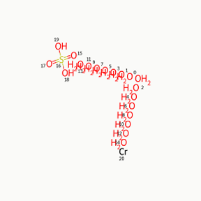 O.O.O.O.O.O.O.O.O.O.O.O.O.O.O.O=S(=O)(O)O.[Cr]